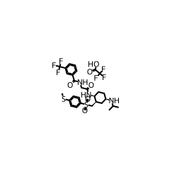 CSc1ccc(S(=O)(=O)C[C@@H]2C[C@H](NC(C)C)CC[C@@H]2NC(=O)CNC(=O)c2cccc(C(F)(F)F)c2)cc1.O=C(O)C(F)(F)F